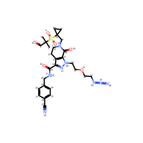 CC(C)(C=O)S(=O)(=O)C1(CN2CCc3c(C(=O)NCc4ccc(C#N)cc4)nn(CCOCCN=[N+]=[N-])c3C2=O)CC1